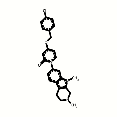 CN1CCc2c(n(C)c3cc(-n4ccc(OCc5ccc(Cl)cc5)cc4=O)ccc23)C1